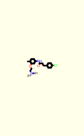 Cc1ccc(NC(=O)/C=C/c2ccc(Cl)cc2)cc1OCCN(C(C)C)C(C)C